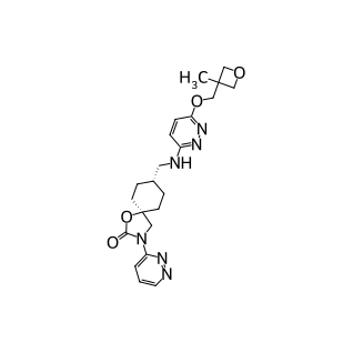 CC1(COc2ccc(NC[C@H]3CC[C@]4(CC3)CN(c3cccnn3)C(=O)O4)nn2)COC1